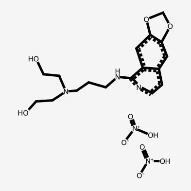 O=[N+]([O-])O.O=[N+]([O-])O.OCCN(CCO)CCCNc1nccc2cc3c(cc12)OCO3